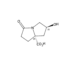 O=C1CC[C@]2(C(=O)O)C[C@H](O)CN12